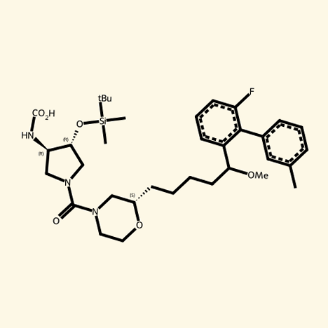 COC(CCCC[C@H]1CN(C(=O)N2C[C@@H](NC(=O)O)[C@H](O[Si](C)(C)C(C)(C)C)C2)CCO1)c1cccc(F)c1-c1cccc(C)c1